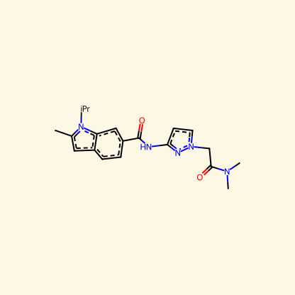 Cc1cc2ccc(C(=O)Nc3ccn(CC(=O)N(C)C)n3)cc2n1C(C)C